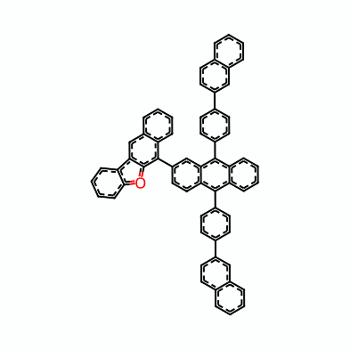 c1ccc2cc(-c3ccc(-c4c5ccccc5c(-c5ccc(-c6ccc7ccccc7c6)cc5)c5cc(-c6c7ccccc7cc7c6oc6ccccc67)ccc45)cc3)ccc2c1